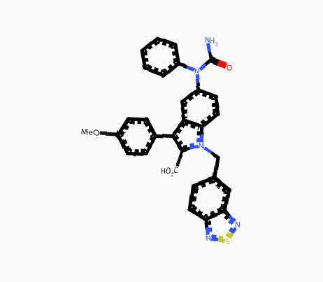 COc1ccc(-c2c(C(=O)O)n(Cc3ccc4nsnc4c3)c3ccc(N(C(N)=O)c4ccccc4)cc23)cc1